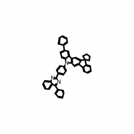 c1ccc(-c2ccc3c(c2)c2cc4c(cc2n3-c2ccc(-c3nc(-c5ccccc5)c5ccccc5n3)cc2)-c2ccccc2C42CCCC2)cc1